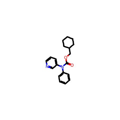 O=C(OCC1CCCCC1)N(c1ccccc1)c1cccnc1